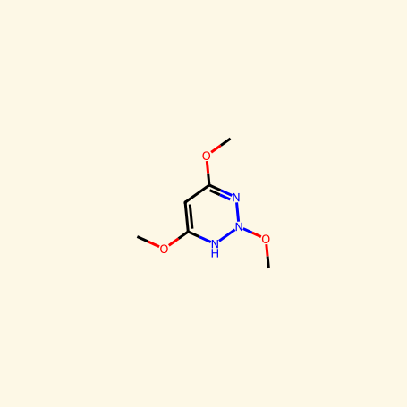 COC1=CC(OC)=NN(OC)N1